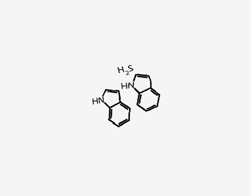 S.c1ccc2[nH]ccc2c1.c1ccc2[nH]ccc2c1